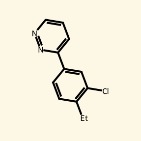 CCc1ccc(-c2cccnn2)cc1Cl